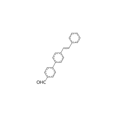 O=Cc1ccc(-c2ccc(C=Cc3ccccc3)cc2)cc1